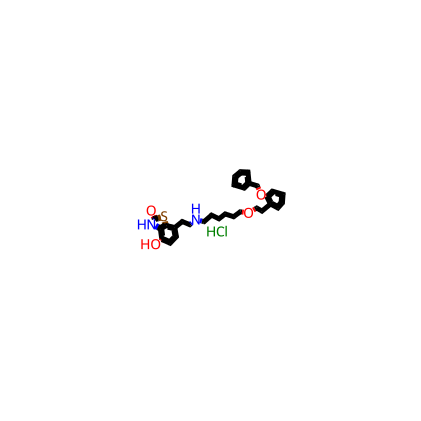 Cl.O=c1[nH]c2c(O)ccc(CCNCCCCCCOCCc3ccccc3OCc3ccccc3)c2s1